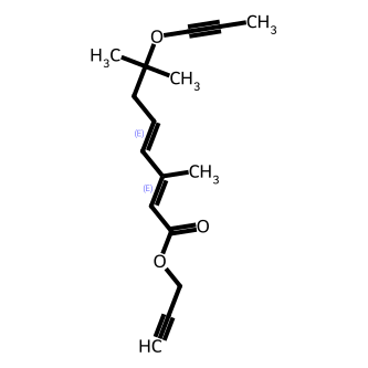 C#CCOC(=O)/C=C(C)/C=C/CC(C)(C)OC#CC